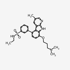 CCNS(=O)(=O)c1cccc(-c2ccc(OCCCN(C)C)c3[nH]c4ncc(C)cc4c23)c1